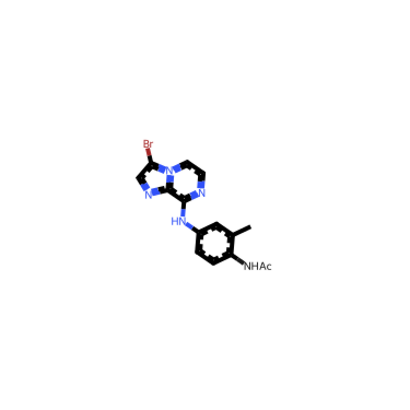 CC(=O)Nc1ccc(Nc2nccn3c(Br)cnc23)cc1C